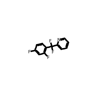 Fc1ccc(C(F)(F)c2ccccn2)c(F)c1